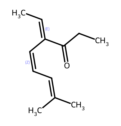 C/C=C(\C=C/C=C(C)C)C(=O)CC